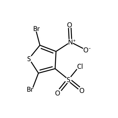 O=[N+]([O-])c1c(Br)sc(Br)c1S(=O)(=O)Cl